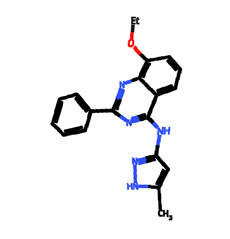 CCOc1cccc2c(Nc3cc(C)[nH]n3)nc(-c3ccccc3)nc12